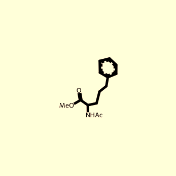 COC(=O)C(CCCc1ccccc1)NC(C)=O